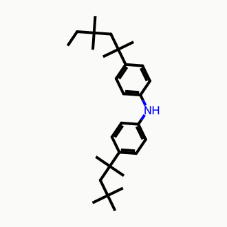 CCC(C)(C)CC(C)(C)c1ccc(Nc2ccc(C(C)(C)CC(C)(C)C)cc2)cc1